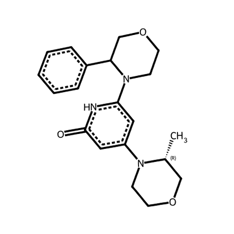 C[C@@H]1COCCN1c1cc(N2CCOCC2c2ccccc2)[nH]c(=O)c1